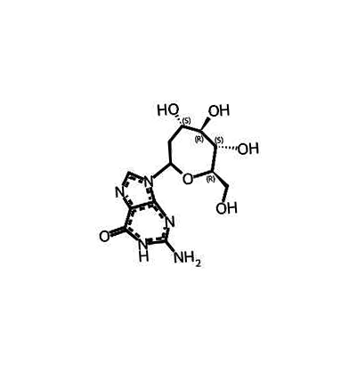 Nc1nc2c(ncn2C2C[C@H](O)[C@@H](O)[C@H](O)[C@@H](CO)O2)c(=O)[nH]1